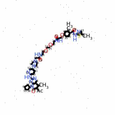 CC(=O)c1c(C)c2cnc(Nc3ccc(N4CCN(CC(=O)NCCOCCOCCNC(=O)COc5ccc(C(=O)Nc6ncc(C)s6)c(C)c5)CC4)cn3)nc2n(C2CCCC2)c1=O